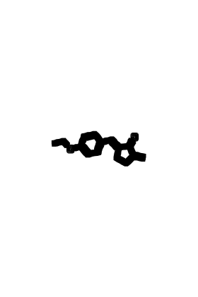 C=C1CC/C(=C\c2ccc(OCC)cc2)C1=O